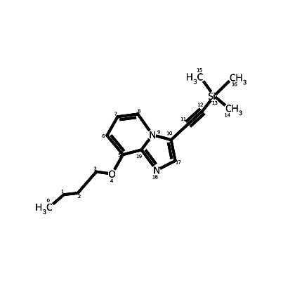 CCCCOc1cccn2c(C#C[Si](C)(C)C)cnc12